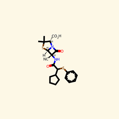 CC1(C)S[C@H]2N(C(=O)[C@]2(C#N)NC(=O)C(Sc2ccccc2)C2CCCC2)[C@H]1C(=O)O